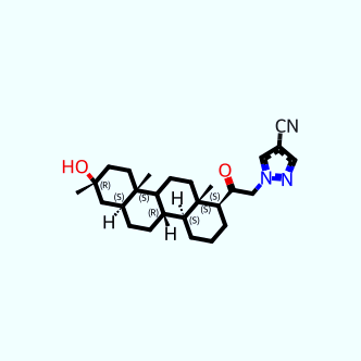 C[C@@]1(O)CC[C@]2(C)C3CC[C@]4(C)[C@@H](C(=O)Cn5cc(C#N)cn5)CCC[C@H]4[C@@H]3CC[C@H]2C1